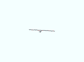 CCCCCCCCCCCCCCCCCCCC(CCCCCCCCCCCCCCCCC)CC(C)(C)CC